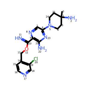 CC1(N)CCN(c2cnc(C(=N)OCc3ccncc3Cl)c(N)n2)CC1